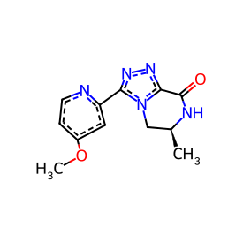 COc1ccnc(-c2nnc3n2C[C@H](C)NC3=O)c1